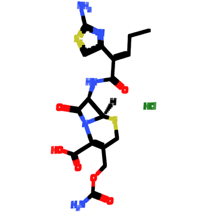 CCC=C(C(=O)N[C@@H]1C(=O)N2C(C(=O)O)=C(COC(N)=O)CS[C@H]12)c1csc(N)n1.Cl